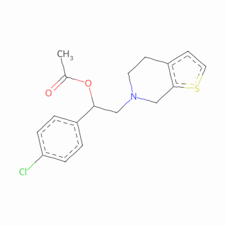 CC(=O)OC(CN1CCc2ccsc2C1)c1ccc(Cl)cc1